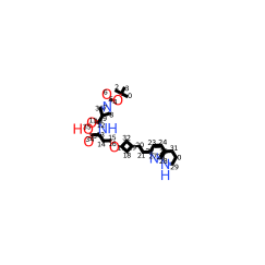 CC(C)(C)OC(=O)N1CC(C(=O)NC(CCO[C@H]2C[C@H](CCc3ccc4c(n3)NCCC4)C2)C(=O)O)C1